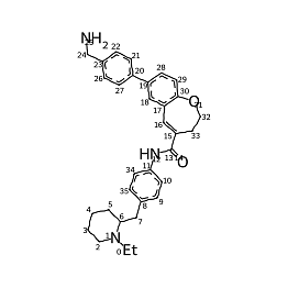 CCN1CCCCC1Cc1ccc(NC(=O)C2=Cc3cc(-c4ccc(CN)cc4)ccc3OCC2)cc1